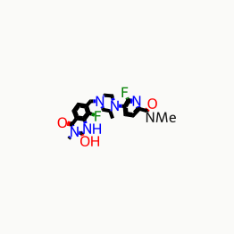 CNC(=O)c1ccc(N2CCN(Cc3ccc4c(c3F)NC(O)N(C)C4=O)CC2C)c(F)n1